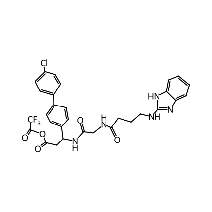 O=C(CCCNc1nc2ccccc2[nH]1)NCC(=O)NC(CC(=O)OC(=O)C(F)(F)F)c1ccc(-c2ccc(Cl)cc2)cc1